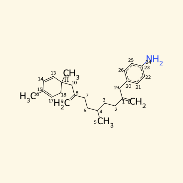 C=C(CCC(C)CCC(=C)CC1(C)C=CC(C)=CC1)Cc1ccc(N)cc1